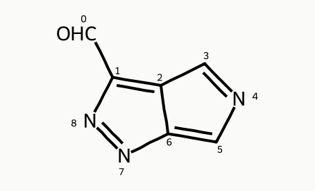 O=CC1=C2C=NC=C2N=N1